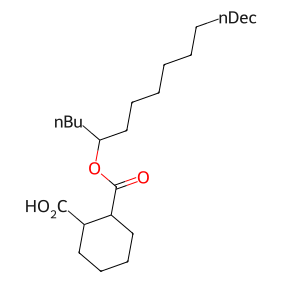 CCCCCCCCCCCCCCCCC(CCCC)OC(=O)C1CCCCC1C(=O)O